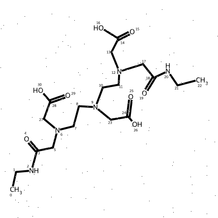 CCNC(=O)CN(CCN(CCN(CC(=O)O)CC(=O)NCC)CC(=O)O)CC(=O)O